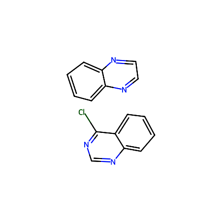 Clc1ncnc2ccccc12.c1ccc2nccnc2c1